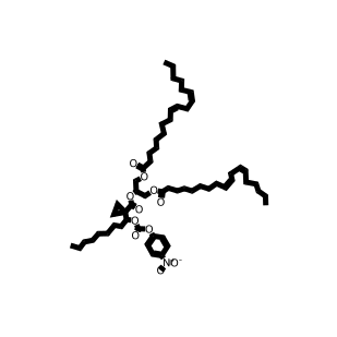 CCCCC/C=C\C/C=C\CCCCCCCC(=O)OCC(COC(=O)CCCCCCC/C=C\C/C=C\CCCCC)OC(=O)C1(C(CCCCCCCC)OC(=O)Oc2ccc([N+](=O)[O-])cc2)CC1